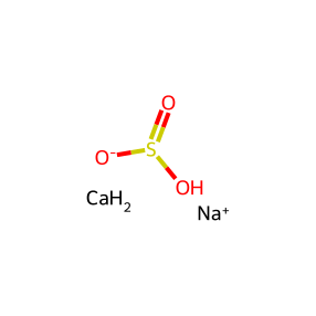 O=S([O-])O.[CaH2].[Na+]